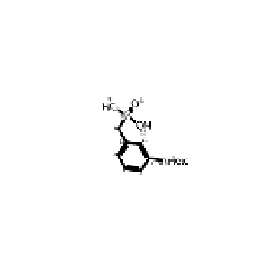 CCCCCCc1cccc(CP(=O)(O)O)c1